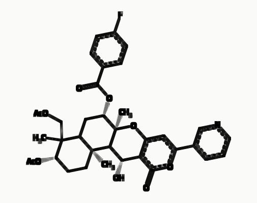 CC(=O)OCC1(C)C2C[C@H](OC(=O)c3ccc(F)cc3)[C@@]3(C)Oc4cc(-c5cccnc5)oc(=O)c4[C@H](O)C3[C@@]2(C)CC[C@@H]1OC(C)=O